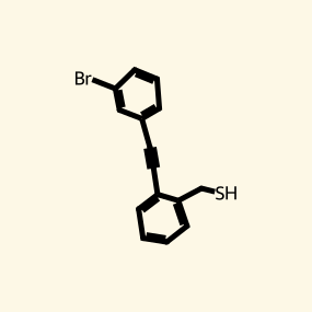 SCc1ccccc1C#Cc1cccc(Br)c1